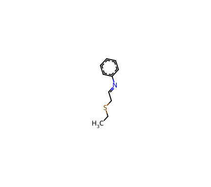 CCSCC=Nc1ccccc1